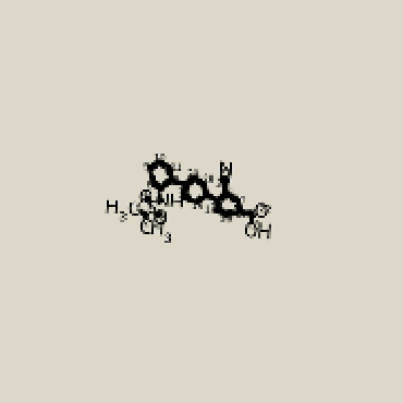 CC(C)S(=O)(=O)Nc1ccccc1-c1ccc(-c2ccc(C(=O)O)cc2C#N)cc1